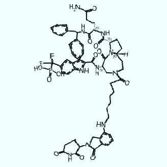 NC(=O)CC[C@H](NC(=O)[C@@H]1CC[C@@H]2CCN(C(=O)CCCCCCNc3cccc4c3CN(C3CCC(=O)NC3=O)C4=O)C[C@H](NC(=O)c3cc4cc(C(F)(F)P(=O)(O)O)ccc4[nH]3)C(=O)N21)C(=O)NC(c1ccccc1)c1ccccc1